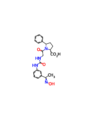 C/C(=N\O)c1cccc(NC(=O)NCC(=O)N2C(c3ccccc3)CC[C@H]2C(=O)O)c1